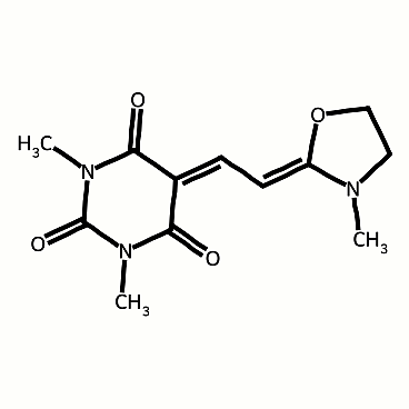 CN1CCOC1=CC=C1C(=O)N(C)C(=O)N(C)C1=O